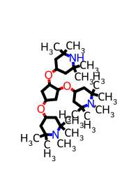 CN1C(C)(C)CC(OC2CC(OC3CC(C)(C)NC(C)(C)C3)C(OC3CC(C)(C)N(C)C(C)(C)C3)C2)CC1(C)C